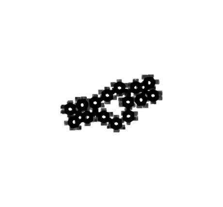 c1ccc(-c2ccc(N(c3cccc(-c4ccc(-c5cccc(N(c6ccc(-c7ccccc7)cc6)c6ccc7c(c6)C(c6ccccc6)(c6ccccc6)c6ccccc6-7)c5)cc4)c3)c3ccc4c(c3)C(c3ccccc3)(c3ccccc3)c3ccccc3-4)cc2)cc1